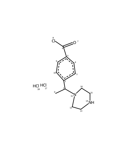 CC(c1ccc(C(=O)Cl)cc1)N1CCNCC1.Cl.Cl